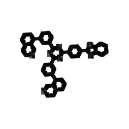 c1cc(-c2nc(-c3ccc(-c4nc5ccccc5o4)cc3)nc(-c3cccc(-c4cccc5ccncc45)c3)n2)cc(-c2cccc3ccncc23)c1